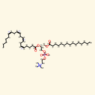 CCCCC/C=C\C/C=C\C/C=C\C/C=C\CCCC(=O)O[C@H](COC(=O)CCCCCCCCCCCCCC)COP(=O)([O-])OCC[N+](C)(C)C